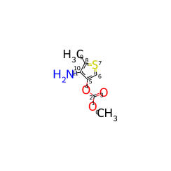 COC(=O)Oc1csc(C)c1N